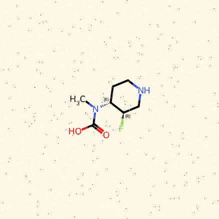 CN(C(=O)O)[C@@H]1CCNC[C@H]1F